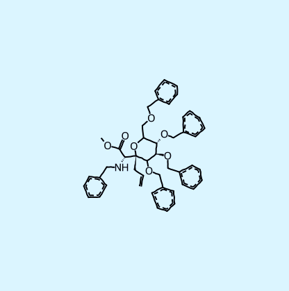 C=CC[C@@]1([C@H](NCc2ccccc2)C(=O)OC)OC(COCc2ccccc2)[C@H](OCc2ccccc2)[C@@H](OCc2ccccc2)C1OCc1ccccc1